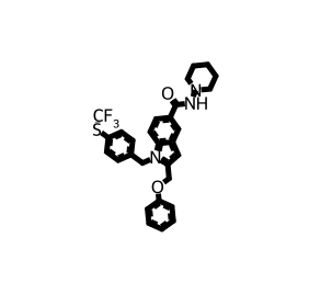 O=C(NN1CCCCC1)c1ccc2c(c1)cc(COc1ccccc1)n2Cc1ccc(SC(F)(F)F)cc1